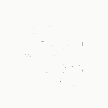 CCC(OC)C(C(=O)O)(C1CCCC1)C1CCCC1